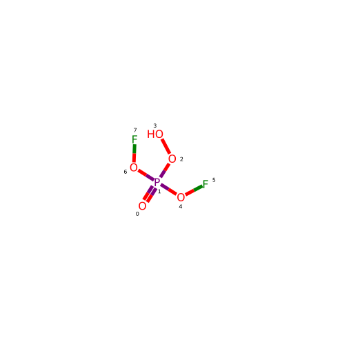 O=P(OO)(OF)OF